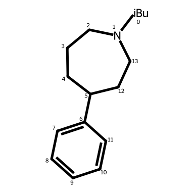 CCC(C)N1CCCC(c2ccccc2)CC1